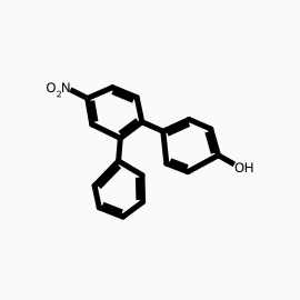 O=[N+]([O-])c1ccc(-c2ccc(O)cc2)c(-c2ccccc2)c1